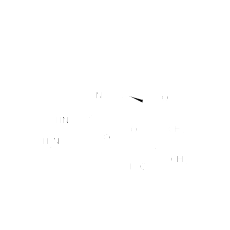 CC(C)(C)OC(=O)[C@@H]1CCCN1C(=O)NN